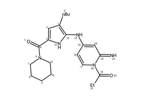 CCCCc1cc(C(=O)N2CCCCC2)[nH]c1Nc1ccn(C(=O)CC)c(=N)c1